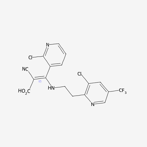 N#C/C(C(=O)O)=C(/NCCc1ncc(C(F)(F)F)cc1Cl)c1cccnc1Cl